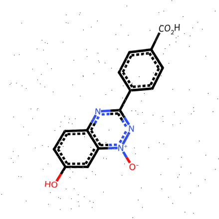 O=C(O)c1ccc(-c2nc3ccc(O)cc3[n+]([O-])n2)cc1